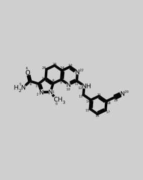 Cn1nc(C(N)=O)c2c1-c1nc(NCc3cccc(C#N)c3)ncc1CC2